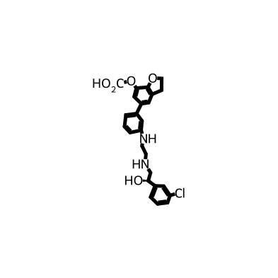 O=C(O)Oc1cc(-c2cccc(NCCNC[C@H](O)c3cccc(Cl)c3)c2)cc2c1OCC2